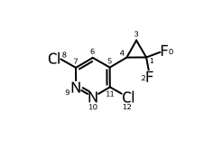 FC1(F)CC1c1cc(Cl)nnc1Cl